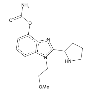 COCCn1c(C2CCCN2)nc2c(OC(N)=O)cccc21